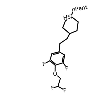 CCCCC[SiH]1CCC(CCc2cc(F)c(OCC(F)F)c(F)c2)CC1